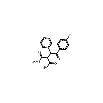 COC(=O)C(C(=O)C(C)C)C(C(=O)c1ccc(F)cc1)c1ccccc1